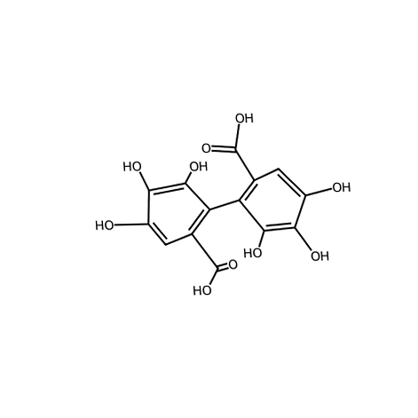 O=C(O)c1cc(O)c(O)c(O)c1-c1c(C(=O)O)cc(O)c(O)c1O